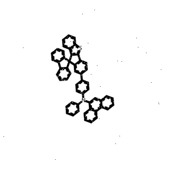 c1ccc(N(c2ccc(-c3ccc4c(c3)C3(c5ccccc5-c5ccccc53)c3c-4sc4ccccc34)cc2)c2cc3ccccc3c3ccccc23)cc1